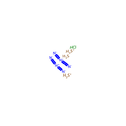 Cl.S.[N-]=[N+]=[N-].[N-]=[N+]=[N-].[SH3+].[SH3+]